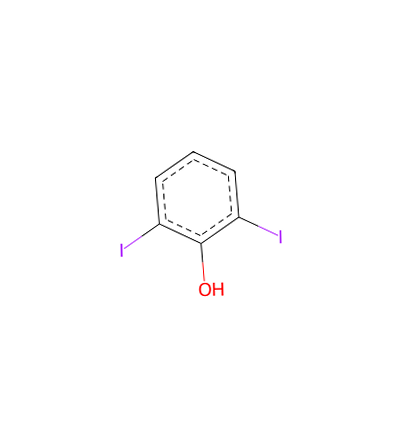 Oc1c(I)cccc1I